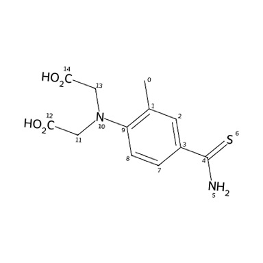 Cc1cc(C(N)=S)ccc1N(CC(=O)O)CC(=O)O